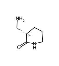 NC[C@@H]1CCCNC1=O